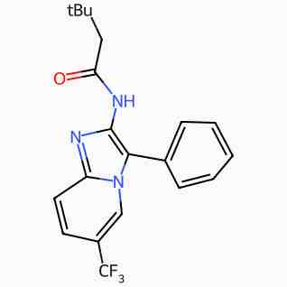 CC(C)(C)CC(=O)Nc1nc2ccc(C(F)(F)F)cn2c1-c1ccccc1